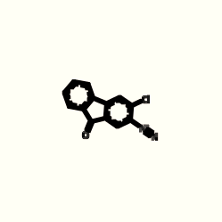 N#[N+]c1cc2c(cc1Cl)-c1ccccc1C2=O